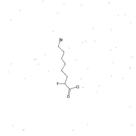 O=C(Cl)C(F)CCCCCCBr